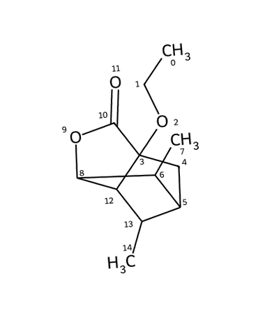 CCOC12CC3C(C)C(OC1=O)C2C3C